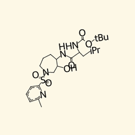 Cc1cccc(S(=O)(=O)N2CCCC(NC(=O)C(CC(C)C)NC(=O)OC(C)(C)C)C(O)C2)n1